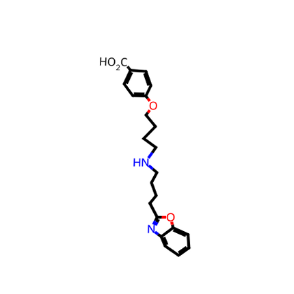 O=C(O)c1ccc(OCCCCNCCCCc2nc3ccccc3o2)cc1